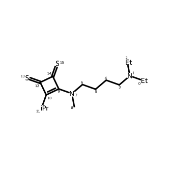 CCN(CC)CCCCN(C)c1c(C(C)C)c(=S)c1=S